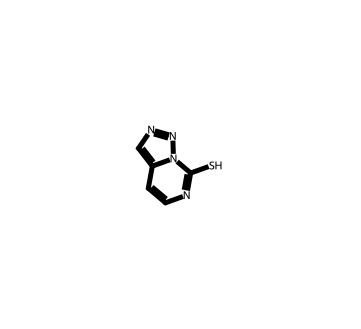 Sc1nccc2cnnn12